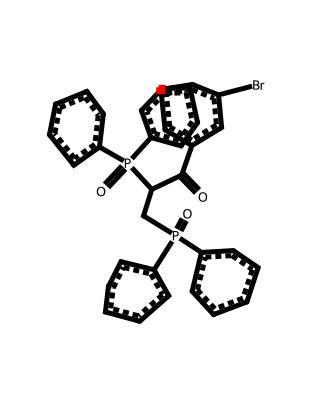 O=C(c1cccc(Br)c1)C(CP(=O)(c1ccccc1)c1ccccc1)P(=O)(c1ccccc1)c1ccccc1